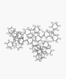 c1ccc(-c2nc(-c3ccccc3)nc(-c3ccc4c(c3)C(c3cc(-c5ccc6c(c5)C(c5ccccc5)c5ccccc5-6)cc(-c5ccc6c(c5)c5ccccc5n6-c5ccccc5)c3)(c3cc(-c5ccc6c(c5)c5ccccc5n6-c5ccccc5)cc(-c5ccc6c7ccccc7n(-c7ccccc7)c6c5)c3)c3ccccc3-4)n2)cc1